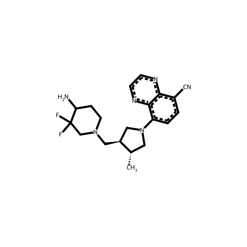 C[C@H]1CN(c2ccc(C#N)c3nccnc23)C[C@@H]1CN1CCC(N)C(F)(F)C1